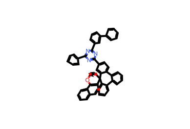 c1ccc(-c2cccc(-c3nc(-c4ccccc4)nc(-c4ccc5c(c4)C4(c6ccccc6Oc6c4ccc4ccccc64)c4ccccc4-c4ccccc4-5)n3)c2)cc1